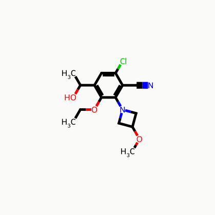 CCOc1c(C(C)O)cc(Cl)c(C#N)c1N1CC(OC)C1